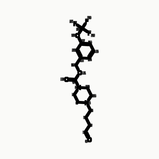 O=CCCCN1CCN(C(=O)OCc2cccc(OC(F)(F)F)c2)CC1